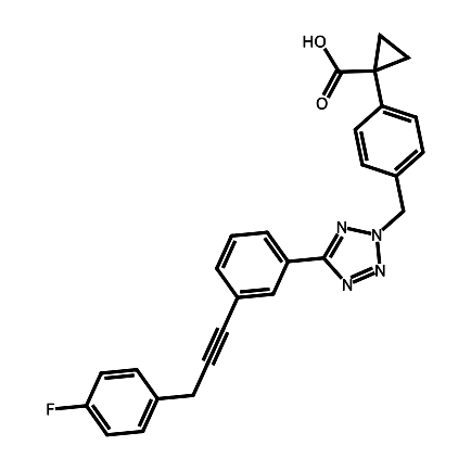 O=C(O)C1(c2ccc(Cn3nnc(-c4cccc(C#CCc5ccc(F)cc5)c4)n3)cc2)CC1